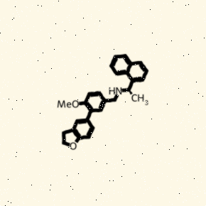 COc1ccc(CN[C@H](C)c2cccc3ccccc23)cc1-c1ccc2c(c1)CCO2